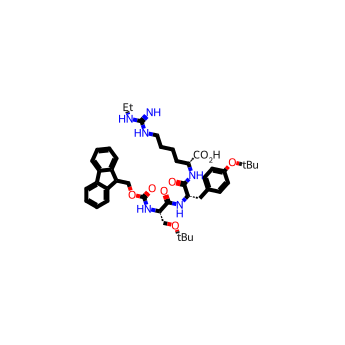 CCNC(=N)NCCCC[C@@H](NC(=O)[C@H](Cc1ccc(OC(C)(C)C)cc1)NC(=O)[C@H](COC(C)(C)C)NC(=O)OCC1c2ccccc2-c2ccccc21)C(=O)O